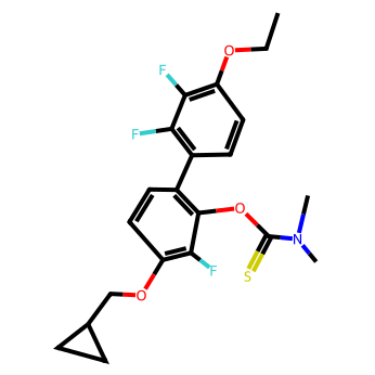 CCOc1ccc(-c2ccc(OCC3CC3)c(F)c2OC(=S)N(C)C)c(F)c1F